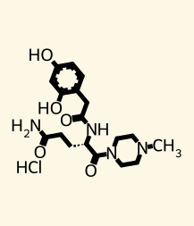 CN1CCN(C(=O)[C@H](CCC(N)=O)NC(=O)Cc2ccc(O)cc2O)CC1.Cl